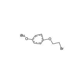 CCC(C)Oc1ccc(OCCBr)cc1